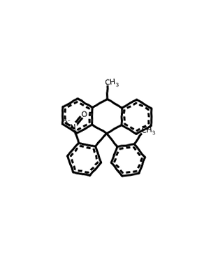 Cc1ccccc1C1(c2ccccc2[N+](=O)[O-])c2ccccc2C(C)c2ccccc21